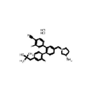 CC(C)(O)Cc1ccc(-c2ccc(CN3CC[C@H](N)C3)cc2-c2ccc(C#N)c(F)c2)c(F)c1.Cl.Cl